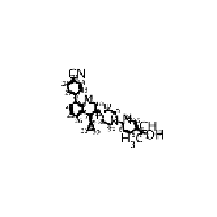 CC(C)(O)c1ccc(N2CCN(c3cnc4c(-c5ccc(C#N)cc5)cccc4c3C3CC3)CC2)nc1